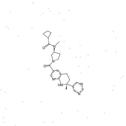 CN(C(=O)C1CCC1)[C@H]1CCN(C(=O)c2cnc3c(c2)CC[C@](C)(c2cncnc2)N3)C1